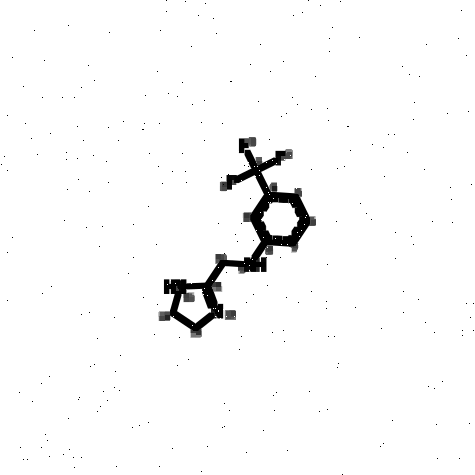 FC(F)(F)c1cccc(NCC2=NCCN2)c1